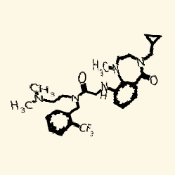 CN(C)CCN(Cc1ccccc1C(F)(F)F)C(=O)CNc1cccc2c1N(C)CCN(CC1CC1)C2=O